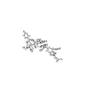 COc1cc(C(=O)NCC(O)(c2nc(-c3ccc(F)cc3)c3c(c2F)[C@](C)(C(N)=O)CO3)C(F)(F)F)cc2cn(C3CC3)nc12